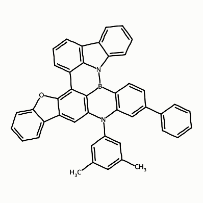 Cc1cc(C)cc(N2c3cc(-c4ccccc4)ccc3B3c4c2cc2c(oc5ccccc52)c4-c2cccc4c5ccccc5n3c24)c1